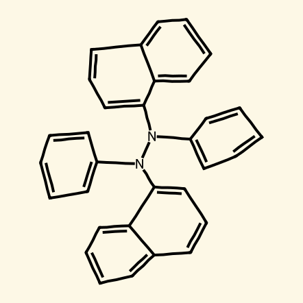 c1ccc(N(c2cccc3ccccc23)N(c2ccccc2)c2cccc3ccccc23)cc1